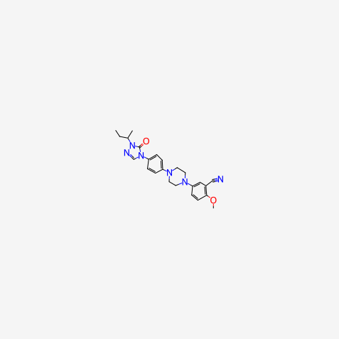 CCC(C)n1ncn(-c2ccc(N3CCN(c4ccc(OC)c(C#N)c4)CC3)cc2)c1=O